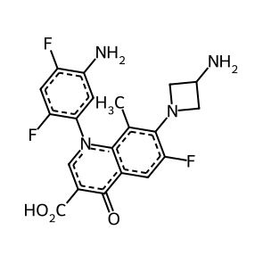 Cc1c(N2CC(N)C2)c(F)cc2c(=O)c(C(=O)O)cn(-c3cc(N)c(F)cc3F)c12